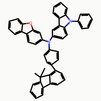 CC1(C)c2ccccc2-c2cccc(-c3ccc(N(c4ccc5c(c4)oc4ccccc45)c4ccc5c(c4)c4ccccc4n5-c4ccccc4)cc3)c21